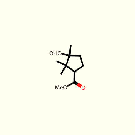 COC(=O)C1CCC(C)(C=O)C1(C)C